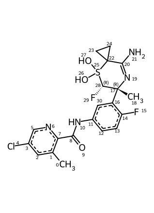 Cc1cc(Cl)cnc1C(=O)Nc1ccc(F)c([C@@]2(C)N=C(N)C3(CC3)S(O)(O)[C@H]2F)c1